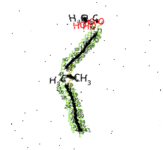 CC(=O)O.CC(=O)O.CC(SC(F)(F)C(F)(F)C(F)(F)C(F)(F)C(F)(F)C(F)(F)C(F)(F)C(F)(F)C(F)(F)C(F)(F)F)C(C)SC(F)(F)C(F)(F)C(F)(F)C(F)(F)C(F)(F)C(F)(F)C(F)(F)C(F)(F)C(F)(F)C(F)(F)F